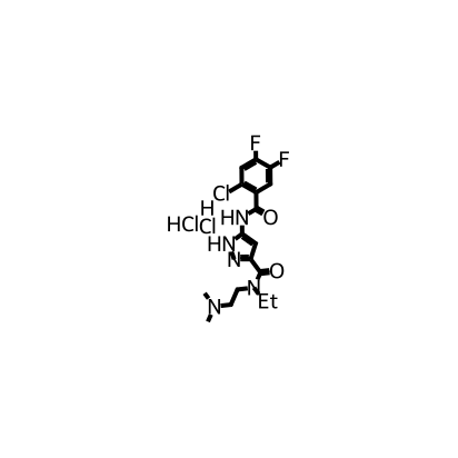 CCN(CCN(C)C)C(=O)c1cc(NC(=O)c2cc(F)c(F)cc2Cl)[nH]n1.Cl.Cl